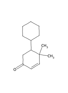 CC1(C)C=CC(=O)CC1C1CCCCC1